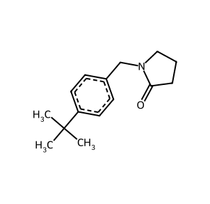 CC(C)(C)c1ccc(CN2CCCC2=O)cc1